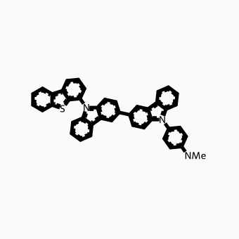 CNc1ccc(-n2c3ccccc3c3cc(-c4ccc5c(c4)c4ccccc4n5-c4cccc5c4sc4ccccc45)ccc32)cc1